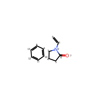 C=CN1CCCC1=O.c1ccccc1